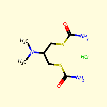 CN(C)C(CSC(N)=O)CSC(N)=O.Cl